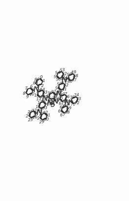 c1ccc(N(c2ccccc2)c2ccc(N(c3ccc(N(c4ccccc4)c4ccccc4)cc3)c3ccc(N(c4ccc(N(c5ccccc5)c5ccccc5)cc4)c4ccc(N(c5ccccc5)c5ccccc5)cc4)c4nsnc34)cc2)cc1